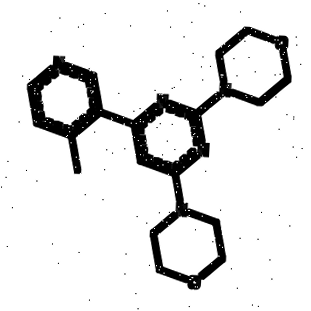 Cc1ccncc1-c1cc(N2CCOCC2)nc(N2CCOCC2)n1